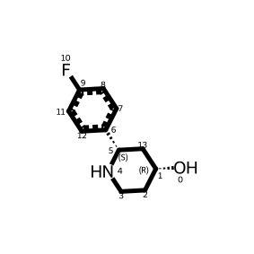 O[C@@H]1CCN[C@H](c2ccc(F)cc2)C1